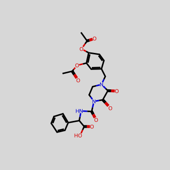 CC(=O)Oc1ccc(CN2CCN(C(=O)NC(C(=O)O)c3ccccc3)C(=O)C2=O)cc1OC(C)=O